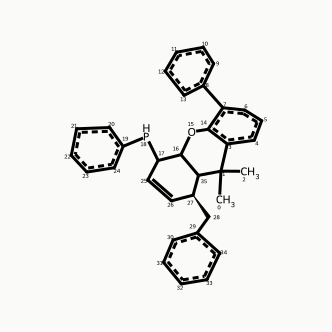 CC1(C)c2cccc(-c3ccccc3)c2OC2C(Pc3ccccc3)C=C[C@H](Cc3ccccc3)C21